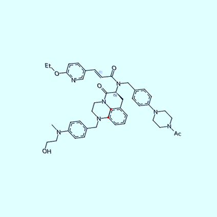 CCOc1ccc(/C=C/C(=O)N(Cc2ccc(N3CCN(C(C)=O)CC3)cc2)[C@@H](Cc2ccccc2)C(=O)N2CCN(Cc3ccc(N(C)CCO)cc3)CC2)cn1